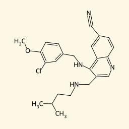 COc1ccc(CNc2c(CNCCC(C)C)cnc3ccc(C#N)cc23)cc1Cl